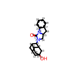 O=C1N(C2C3CC4CC2CC(O)(C4)C3)CC2Cc3ccccc3N12